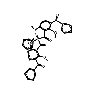 COc1ccc(C(=O)c2ccccc2)c(OC)c1C(=O)P(=O)(C(=O)c1c(OC)ccc(C(=O)c2ccccc2)c1OC)c1ccccc1